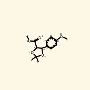 COC(=O)C1OC(C)(C)OC1c1ccc(OC)cc1